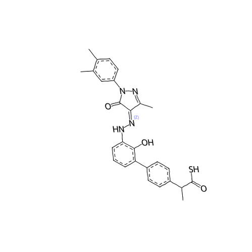 CC1=NN(c2ccc(C)c(C)c2)C(=O)/C1=N\Nc1cccc(-c2ccc(C(C)C(=O)S)cc2)c1O